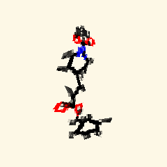 CC(C)(C)OC(=O)N1CCC(CCC(=O)OCc2ccccc2)CC1